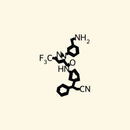 N#CCC(c1ccccc1)c1cccc(NC(=O)c2cc(C(F)(F)F)nn2-c2cccc(CN)c2)c1